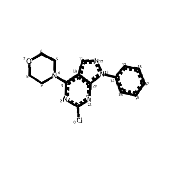 Clc1nc(N2CCOCC2)c2cnn(-c3ccccc3)c2n1